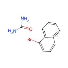 Brc1cccc2ccccc12.NC(N)=O